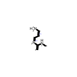 C=C(/N=C\C=C/N)NC